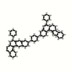 c1ccc(-c2nc3ccc4ccccc4c3c3cc4ccc(-c5ccc(-c6ccc7c(c6)nc(-c6ccccc6)c6ccc8c9ccccc9oc8c67)cc5)cc4cc23)cc1